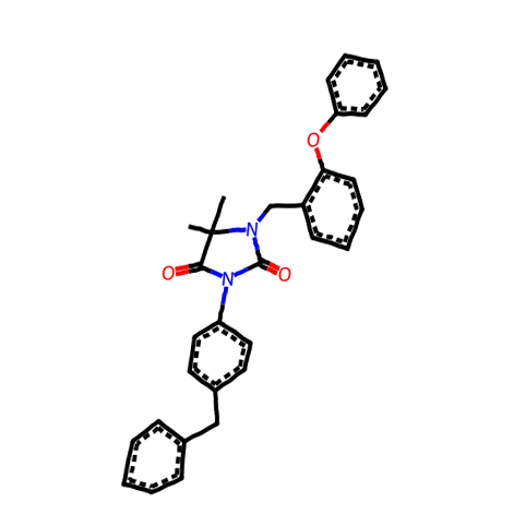 CC1(C)C(=O)N(c2ccc(Cc3ccccc3)cc2)C(=O)N1Cc1ccccc1Oc1ccccc1